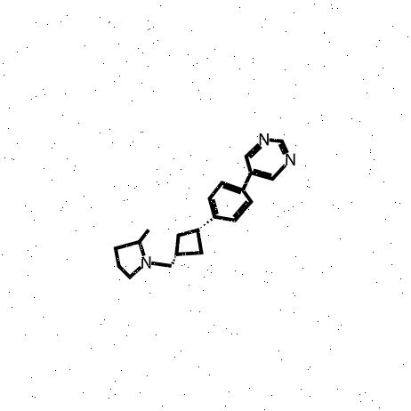 CC1CCCN1C[C@H]1C[C@@H](c2ccc(-c3cncnc3)cc2)C1